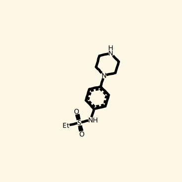 CCS(=O)(=O)Nc1ccc(N2CCNCC2)cc1